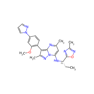 CC[C@H](Nc1cc(C)nc2c(-c3ccc(-n4cccn4)cc3OC)c(C)nn12)c1nc(C)no1